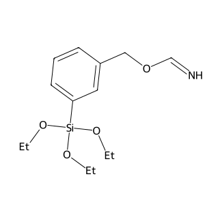 CCO[Si](OCC)(OCC)c1cccc(COC=N)c1